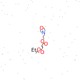 CCC(C)(C)OC(=O)C=CC(=O)OCCCN1CCOCC1